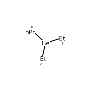 CC[CH2][Ge]([CH2]C)[CH2]C